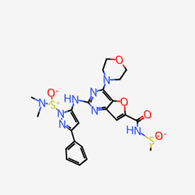 CN(C)[S+]([O-])n1nc(-c2ccccc2)cc1Nc1nc(N2CCOCC2)c2oc(C(=O)N[S+](C)[O-])cc2n1